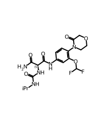 CC(C)NC(=O)N[C@@H](C(N)=O)C(=O)Nc1ccc(N2CCOCC2=O)c(OC(F)F)c1